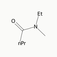 [CH2]CCC(=O)N(C)CC